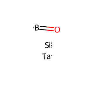 [B]=O.[Si].[Ta]